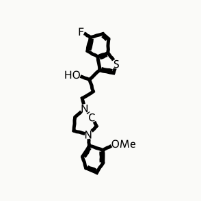 COc1ccccc1N1CCN(CCC(O)c2csc3ccc(F)cc23)CC1